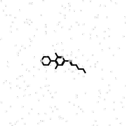 CCCC/C=[SH]/c1cc(C)c(C2CCOCC2)c(C)n1